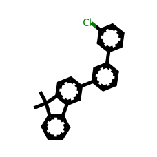 CC1(C)c2ccccc2-c2cc(-c3cccc(-c4cccc(Cl)c4)c3)ccc21